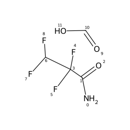 NC(=O)C(F)(F)C(F)F.O=CO